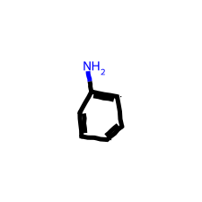 Nc1[c]c[c]cc1